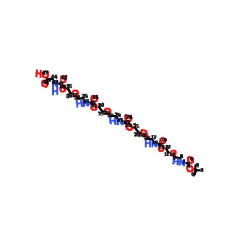 CC(C)(C)OC(=O)NCCOCCOC(=O)NCCOCCOC(=O)NCCOCCOC(=O)NCCOCCOC(=O)NCC(=O)O